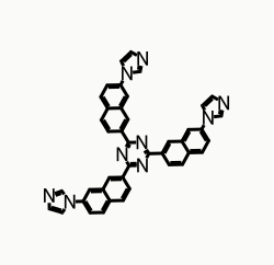 c1cn(-c2ccc3ccc(-c4nc(-c5ccc6ccc(-n7ccnc7)cc6c5)nc(-c5ccc6ccc(-n7ccnc7)cc6c5)n4)cc3c2)cn1